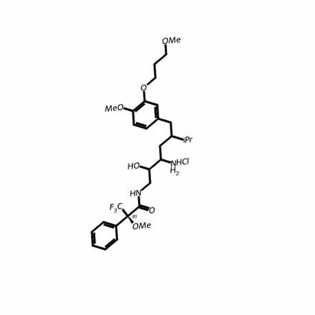 COCCCOc1cc(CC(CC(N)C(O)CNC(=O)[C@](OC)(c2ccccc2)C(F)(F)F)C(C)C)ccc1OC.Cl